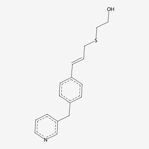 OCCSCC=Cc1ccc(Cc2cccnc2)cc1